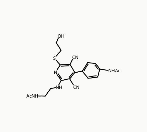 CC(=O)NCCNc1nc(SCCO)c(C#N)c(-c2ccc(NC(C)=O)cc2)c1C#N